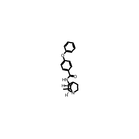 C[C@H]1[C@H](NC(=O)c2ccc(Oc3ccccc3)cc2)C2CCN1CC2